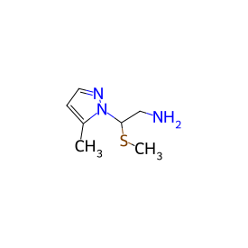 CSC(CN)n1nccc1C